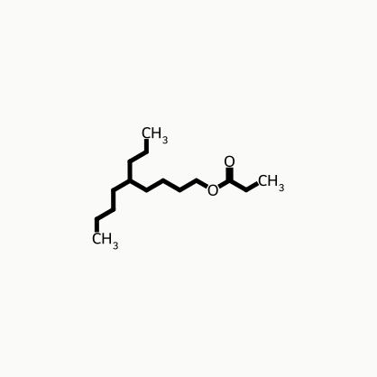 CCCCC(CCC)CCCCOC(=O)CC